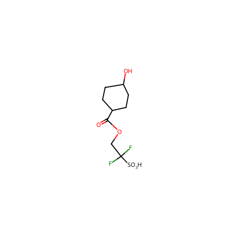 O=C(OCC(F)(F)S(=O)(=O)O)C1CCC(O)CC1